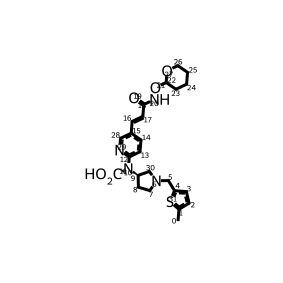 Cc1ccc(CN2CC[C@@H](N(C(=O)O)c3ccc(/C=C/C(=O)NOC4CCCCO4)cn3)C2)s1